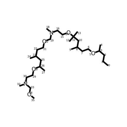 CCCC(C)OCCC(C)CC(C)(C)OCCN(C)COCCC(C)CC(C)OCCN(C)COC